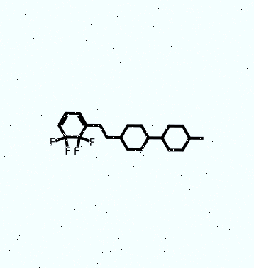 CC1CCC(C2CCC(CCC3=CC=CC(F)(F)C3(F)F)CC2)CC1